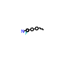 C=CC=CC1CCC(C2CCC(c3ccc(C#N)c(F)c3)CC2)CC1